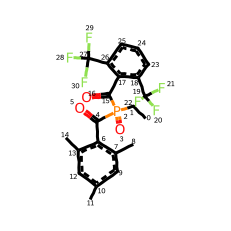 CCP(=O)(C(=O)c1c(C)cc(C)cc1C)C(=O)c1c(C(F)(F)F)cccc1C(F)(F)F